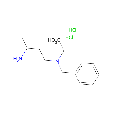 CC(N)CCN(CC(=O)O)Cc1ccccc1.Cl.Cl